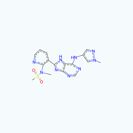 CN(c1ncccc1-c1nc2ncnc(Nc3cnn(C)c3)c2[nH]1)S(C)(=O)=O